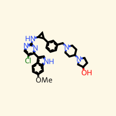 COc1ccc2c(-c3nc(NC4CC4c4cccc(CN5CCC(N6CCC(O)C6)CC5)c4)ncc3Cl)c[nH]c2c1